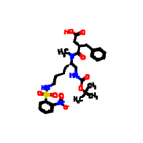 CN(C(=O)[C@@H](CC(=O)O)Cc1ccccc1)[C@@H](CCCCNS(=O)(=O)c1ccccc1[N+](=O)[O-])CNC(=O)OC(C)(C)C